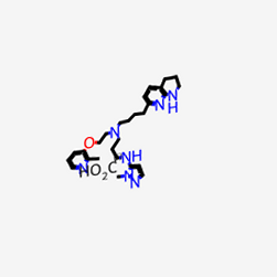 Cc1ncccc1OCCN(CCCCc1ccc2c(n1)NCCC2)CC[C@H](Nc1ccnn1C)C(=O)O